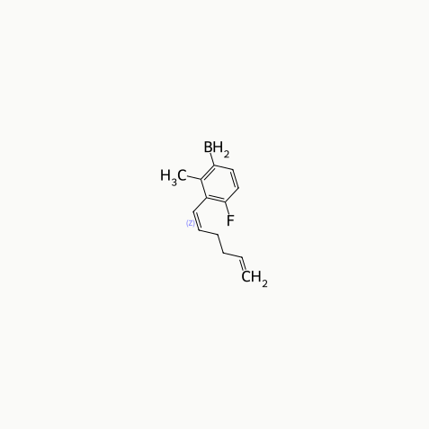 Bc1ccc(F)c(/C=C\CCC=C)c1C